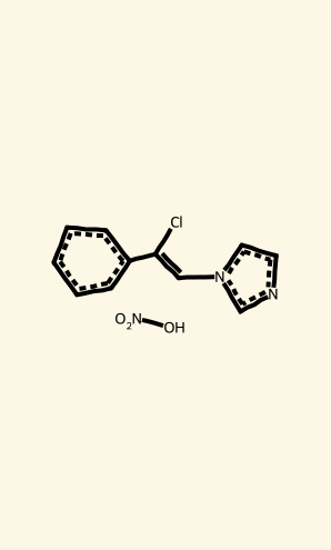 ClC(=Cn1ccnc1)c1ccccc1.O=[N+]([O-])O